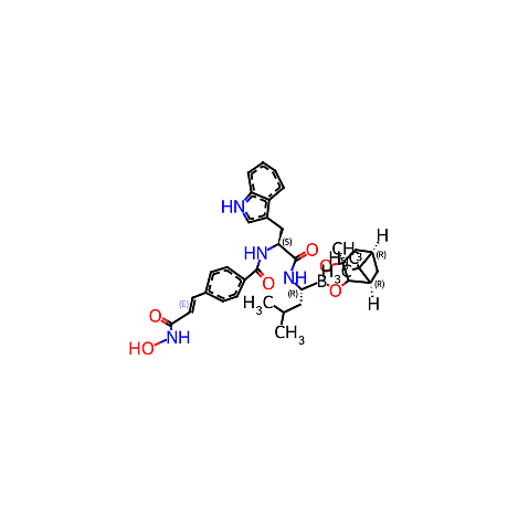 CC(C)C[C@H](NC(=O)[C@H](Cc1c[nH]c2ccccc12)NC(=O)c1ccc(/C=C/C(=O)NO)cc1)B1OC2[C@@H]3C[C@H](C[C@]2(C)O1)C3(C)C